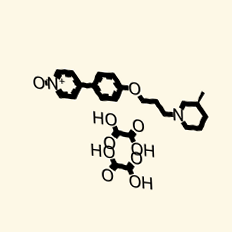 C[C@H]1CCCN(CCCOc2ccc(-c3cc[n+]([O-])cc3)cc2)C1.O=C(O)C(=O)O.O=C(O)C(=O)O